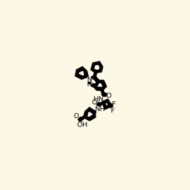 O=C(O)c1ccc(NC(=O)C2(NC(=O)c3ccc4c(C5CCCCC5)n(-c5ccccc5)nc4c3)CC(F)(F)C2)cc1